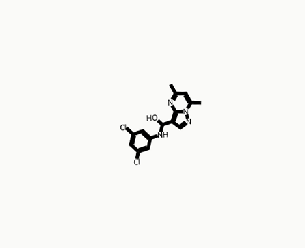 Cc1cc(C)n2ncc(C(O)Nc3cc(Cl)cc(Cl)c3)c2n1